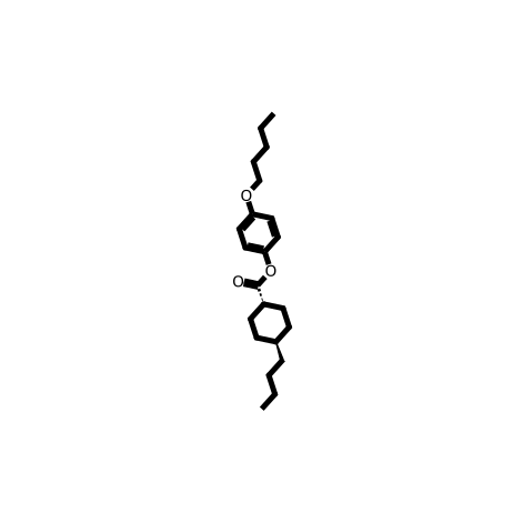 CCCCCOc1ccc(OC(=O)[C@H]2CC[C@H](CCCC)CC2)cc1